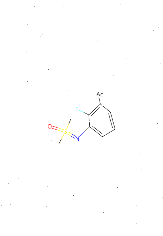 CC(=O)c1cccc(N=S(C)(C)=O)c1F